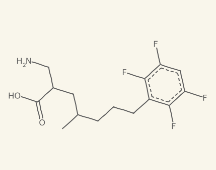 CC(CCCc1c(F)c(F)cc(F)c1F)CC(CN)C(=O)O